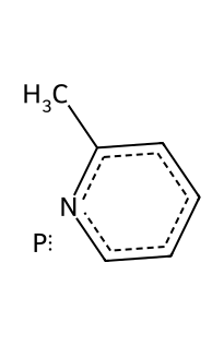 Cc1ccccn1.[P]